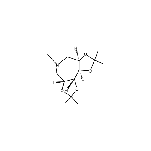 CN1C[C@H]2OC(C)(C)O[C@H]2[C@@H]2OC(C)(C)O[C@@H]2C1